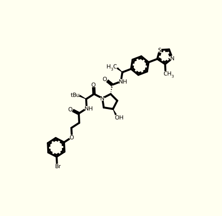 Cc1ncsc1-c1ccc([C@H](C)NC(=O)[C@@H]2C[C@@H](O)CN2C(=O)[C@@H](NC(=O)CCOc2cccc(Br)c2)C(C)(C)C)cc1